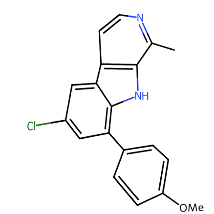 COc1ccc(-c2cc(Cl)cc3c2[nH]c2c(C)nccc23)cc1